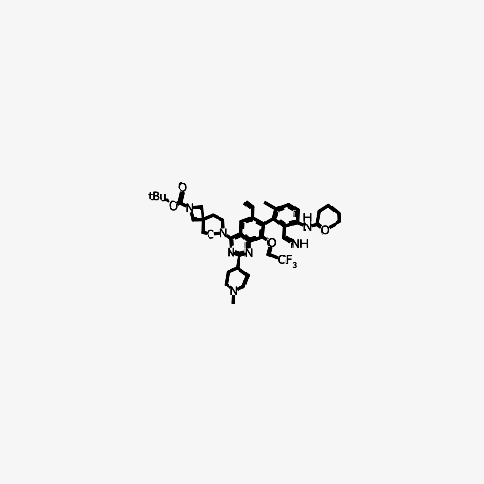 C=Cc1cc2c(N3CCC4(CC3)CN(C(=O)OC(C)(C)C)C4)nc(C3CCN(C)CC3)nc2c(OCC(F)(F)F)c1-c1c(C)ccc(NC2CCCCO2)c1C=N